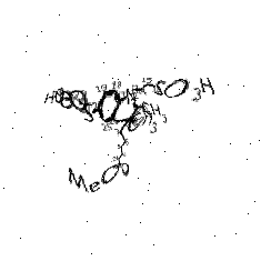 COC(=O)CCCCCC1(C)C(C)=[N+](CCCS(=O)(=O)O)c2ccc(SOOO)cc21